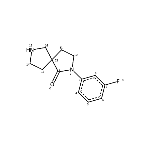 O=C1N(c2cccc(F)c2)CCC12CCNC2